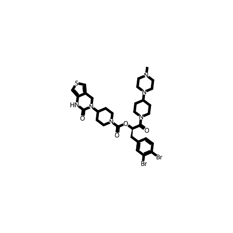 CN1CCN(C2CCN(C(=O)[C@@H](Cc3ccc(Br)c(Br)c3)OC(=O)N3CCC(N4Cc5cscc5NC4=O)CC3)CC2)CC1